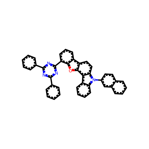 c1ccc(-c2nc(-c3ccccc3)nc(-c3cccc4c3oc3c4ccc4c3c3ccccc3n4-c3ccc4ccccc4c3)n2)cc1